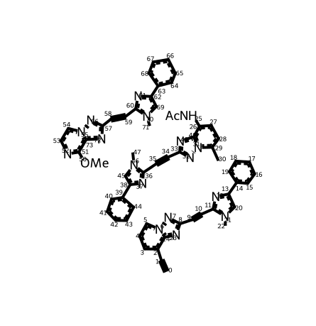 C#Cc1cccn2nc(C#Cc3nc(-c4ccccc4)cn3C)nc12.CC(=O)Nc1ccc(C)n2nc(C#Cc3nc(-c4ccccc4)cn3C)nc12.COc1nccn2nc(C#Cc3nc(-c4ccccc4)cn3C)nc12